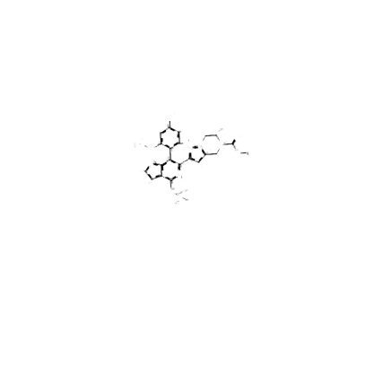 CC(C)Oc1cc(F)cc(F)c1-c1c(-c2cc3n(n2)C[C@@H](C)N(C(=O)OC(C)(C)C)C3)nc(OS(=O)(=O)C(F)(F)F)c2ccsc12